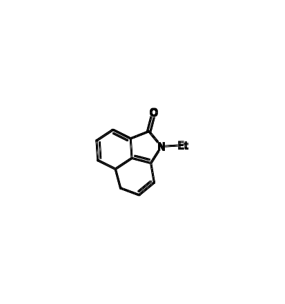 CCN1C(=O)C2=CC=CC3CC=CC1=C23